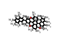 Bc1cc2c(-c3c(B)c(B)c(B)c4c(B)c(B)c(B)c(B)c34)c3c(B)c(B)c(B)c(B)c3c(-c3c(B)c(B)c(-c4c(B)c(B)c5c(B)c(B)c(B)c(B)c5c4B)c(B)c3B)c2c(B)c1B